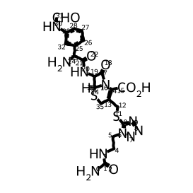 NC(=O)NCCn1nnnc1SCC1=C(C(=O)O)N2C(=O)C(NC(=O)C(N)c3cccc(NC=O)c3)[C@H]2SC1